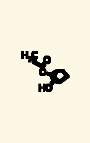 C=CC(=O)OC1C2CCC(C2)C1O